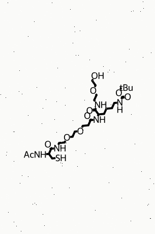 CC(=O)NC(CS)C(=O)NCCOCCOCCC(=O)NC(CCCCNC(=O)OC(C)(C)C)C(=O)NCCOCCO